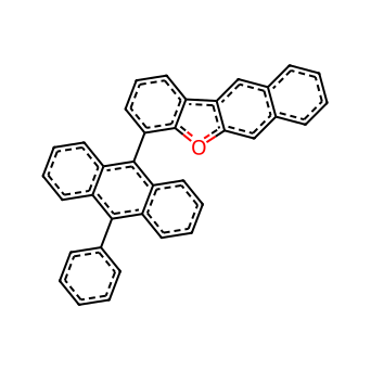 c1ccc(-c2c3ccccc3c(-c3cccc4c3oc3cc5ccccc5cc34)c3ccccc23)cc1